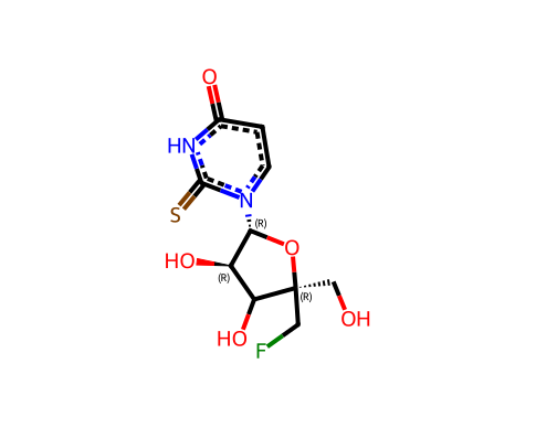 O=c1ccn([C@@H]2O[C@@](CO)(CF)C(O)[C@H]2O)c(=S)[nH]1